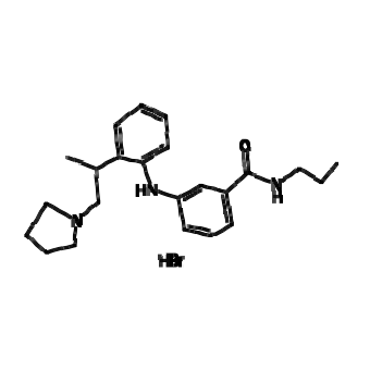 Br.CCCNC(=O)c1cccc(Nc2ccccc2C(C)CN2CCCC2)c1